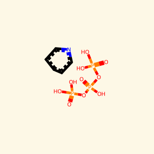 O=P(O)(O)OP(=O)(O)OP(=O)(O)O.c1ccncc1